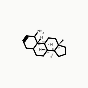 C[C@@]12CCC[C@H]1[C@@H]1CCC3CC#CC(N)[C@@H]3[C@H]1CC2